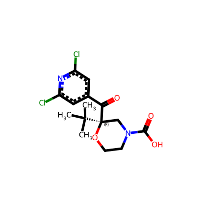 CC(C)(C)[C@]1(C(=O)c2cc(Cl)nc(Cl)c2)CN(C(=O)O)CCO1